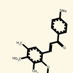 CSc1ccc(C(=O)/C=C/c2cc(C)c(C(=O)O)c(C)c2OC(C)(C)C)cc1